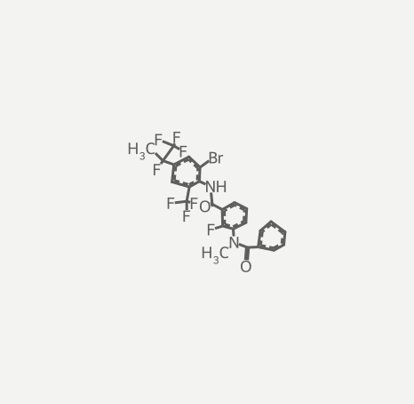 CN(C(=O)c1ccccc1)c1cccc(C(=O)Nc2c(Br)cc(C(C)(F)C(F)(F)F)cc2C(F)(F)F)c1F